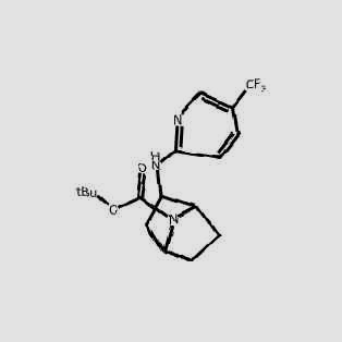 CC(C)(C)OC(=O)N1C2CCC1C(Nc1ccc(C(F)(F)F)cn1)C2